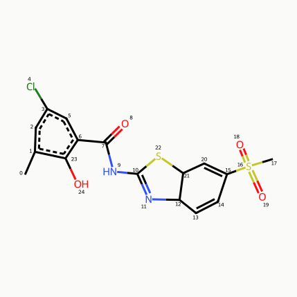 Cc1cc(Cl)cc(C(=O)NC2=NC3C=CC(S(C)(=O)=O)=CC3S2)c1O